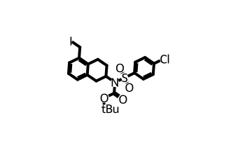 CC(C)(C)OC(=O)N(C1CCc2c(CI)cccc2C1)S(=O)(=O)c1ccc(Cl)cc1